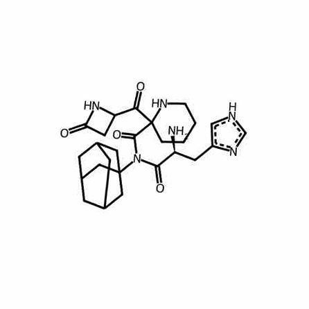 N[C@@H](Cc1c[nH]cn1)C(=O)N(C(=O)C1(C(=O)C2CC(=O)N2)CCCCN1)C12CC3CC(CC(C3)C1)C2